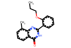 CCCOc1ccccc1-c1nc2c(C)cccc2c(=O)[nH]1